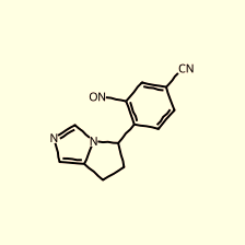 N#Cc1ccc(C2CCc3cncn32)c(N=O)c1